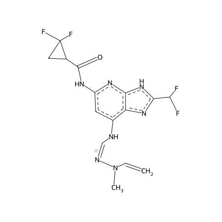 C=CN(C)/N=C\Nc1cc(NC(=O)C2CC2(F)F)nc2[nH]c(C(F)F)nc12